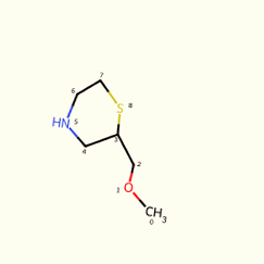 COCC1CNCCS1